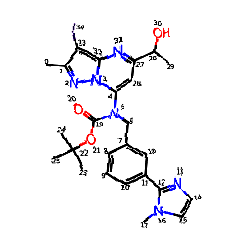 Cc1nn2c(N(Cc3cccc(-c4nccn4C)c3)C(=O)OC(C)(C)C)cc(C(C)O)nc2c1I